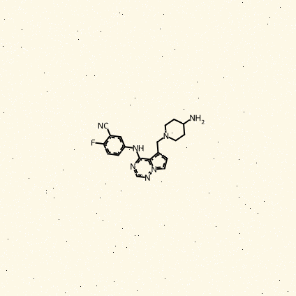 N#Cc1cc(Nc2ncnn3ccc(CN4CCC(N)CC4)c23)ccc1F